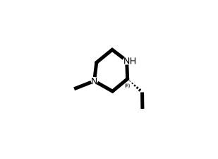 CC[C@@H]1CN(C)CCN1